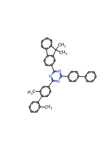 Cc1ccccc1-c1ccc(-c2nc(-c3ccc(-c4ccccc4)cc3)nc(-c3ccc4c(c3)C(C)(C)c3ccccc3-4)n2)cc1C